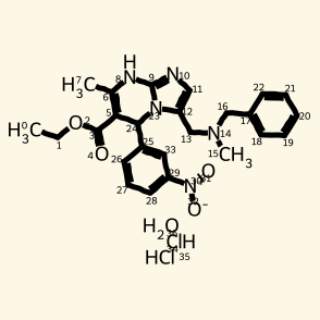 CCOC(=O)C1=C(C)Nc2ncc(CN(C)Cc3ccccc3)n2C1c1cccc([N+](=O)[O-])c1.Cl.Cl.O